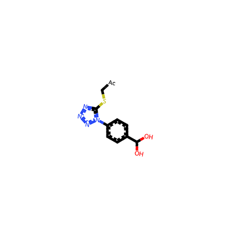 CC(=O)CSc1nnnn1-c1ccc(C(O)O)cc1